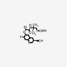 C#Cc1cnc2cc(F)c(OC(CC)C(=O)NC(C)(C)C=NOC)cc2c1